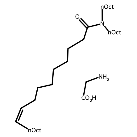 CCCCCCCC/C=C\CCCCCCCC(=O)N(CCCCCCCC)CCCCCCCC.NCC(=O)O